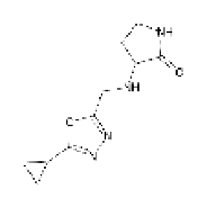 O=C1NCCC1NCc1nnc(C2CC2)o1